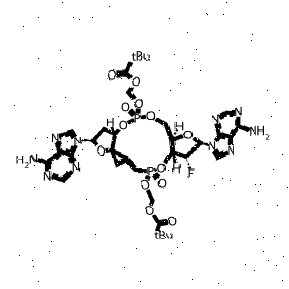 CC(C)(C)C(=O)OCOP1(=O)/C=C2\CC23O[C@@H](n2cnc4c(N)ncnc42)C[C@@H]3OP(=O)(OCOC(=O)C(C)(C)C)OC[C@H]2O[C@@H](n3cnc4c(N)ncnc43)[C@H](F)[C@@H]2O1